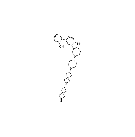 C[C@@H]1c2c([nH]c3nnc(-c4ccccc4O)cc23)CCN1C1CCN(C2CC3(C2)CN(C2CC4(CNC4)C2)C3)CC1